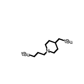 CC(C)(C)CCCN1CCC(CC(C)(C)C)CC1